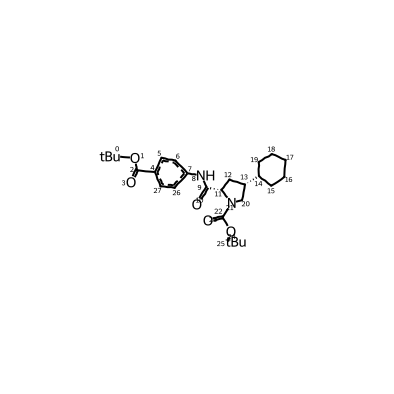 CC(C)(C)OC(=O)c1ccc(NC(=O)[C@@H]2C[C@H](C3CCCCC3)CN2C(=O)OC(C)(C)C)cc1